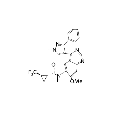 COc1cc2ncnc(-c3cn(C)nc3-c3ccccc3)c2cc1NC(=O)[C@@H]1C[C@H]1C(F)(F)F